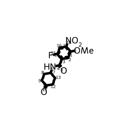 COc1cc(C(=O)NC2CCC(=O)CC2)c(F)cc1[N+](=O)[O-]